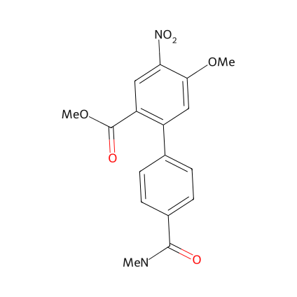 CNC(=O)c1ccc(-c2cc(OC)c([N+](=O)[O-])cc2C(=O)OC)cc1